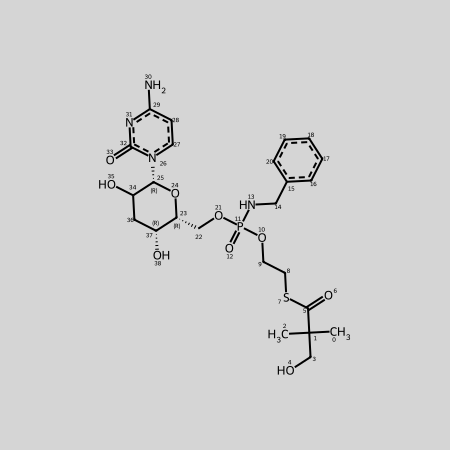 CC(C)(CO)C(=O)SCCOP(=O)(NCc1ccccc1)OC[C@H]1O[C@@H](n2ccc(N)nc2=O)C(O)C[C@H]1O